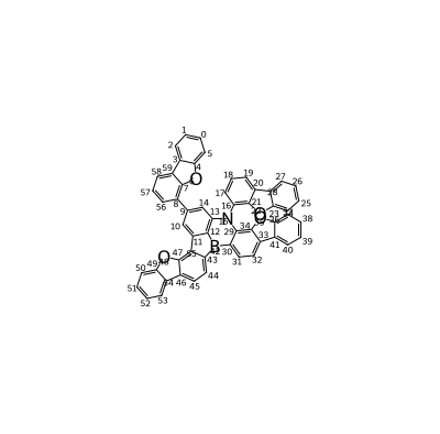 c1ccc2c(c1)oc1c(-c3cc4c5c(c3)N(c3cccc6c3oc3ccccc36)c3c(ccc6c3oc3ccccc36)B5c3ccc5c(oc6ccccc65)c3-4)cccc12